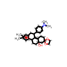 CN(C)c1ccc(C2CC34OCCOC(C)(C)[C@H]3CCC4C3CC[C@@]4(O)CC5(CCC4=C23)OCCO5)cc1